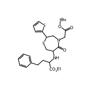 CCOC(=O)C(CCc1ccccc1)NC1CSC(c2cccs2)CN(CC(=O)OC(C)(C)C)C1=O